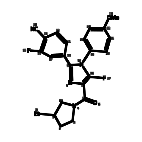 CCC1CCN(C(=O)c2nc(-c3ccc(C#N)c(F)c3)n(-c3ccc(OC)cc3)c2F)C1